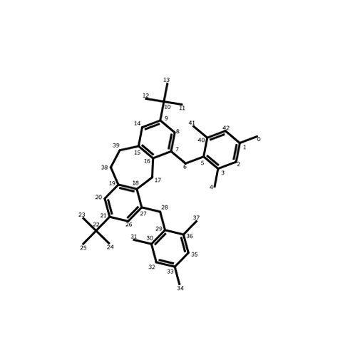 Cc1cc(C)c(Cc2cc(C(C)(C)C)cc3c2Cc2c(cc(C(C)(C)C)cc2Cc2c(C)cc(C)cc2C)CC3)c(C)c1